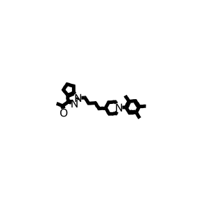 CC(=O)c1nn(CCCCC2CCN(c3cc(C)c(C)cc3C)CC2)c2c1CCC2